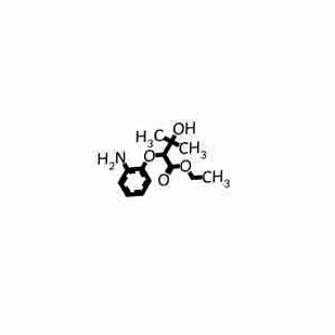 CCOC(=O)C(Oc1ccccc1N)C(C)(C)O